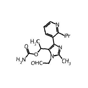 Cc1nc(-c2cccnc2C(C)C)c(C(C)OC(N)=O)n1CC=O